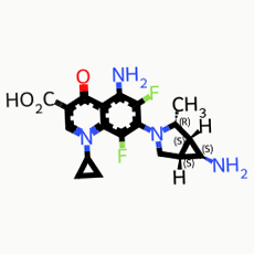 C[C@@H]1[C@@H]2[C@@H](N)[C@@H]2CN1c1c(F)c(N)c2c(=O)c(C(=O)O)cn(C3CC3)c2c1F